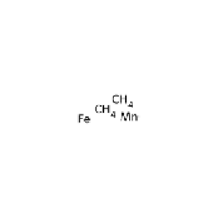 C.C.[Fe].[Mn]